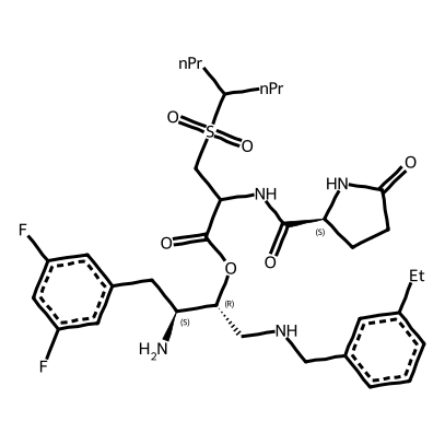 CCCC(CCC)S(=O)(=O)CC(NC(=O)[C@@H]1CCC(=O)N1)C(=O)O[C@H](CNCc1cccc(CC)c1)[C@@H](N)Cc1cc(F)cc(F)c1